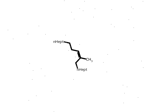 CCCCCCCCCC=C(C)CCCCCCCC